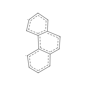 [c]1ccc2ccc3ccc[c]c3c2c1